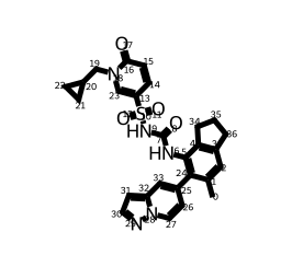 Cc1cc2c(c(NC(=O)NS(=O)(=O)c3ccc(=O)n(CC4CC4)c3)c1-c1ccn3nccc3c1)CCC2